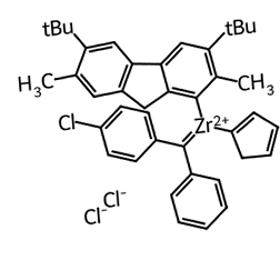 Cc1cc2c(cc1C(C)(C)C)-c1cc(C(C)(C)C)c(C)[c](/[Zr+2]([C]3=CC=CC3)=[C](/c3ccccc3)c3ccc(Cl)cc3)c1C2.[Cl-].[Cl-]